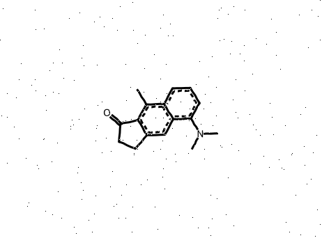 Cc1c2c(cc3c(N(C)C)cccc13)CCC2=O